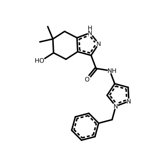 CC1(C)Cc2[nH]nc(C(=O)Nc3cnn(Cc4ccccc4)c3)c2CC1O